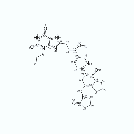 CCCn1c(=O)[nH]c(=O)c2[nH]c(CC[C@H](OC)c3ccc(N(CCCN4CCCC4=O)C(=O)C4CCCC4)nc3)nc21